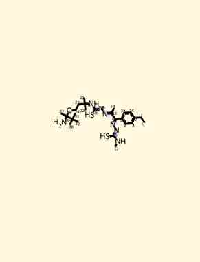 CCc1ccc(C(=N\N=C(/S)NC)/C(C)=N/N=C(\S)NC(C)(C)CCOC(C)(N)C(C)(C)C)cc1